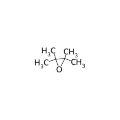 CC1(C)OC1(C)C